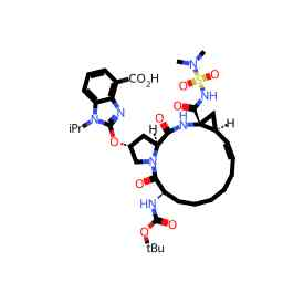 CC(C)n1c(O[C@@H]2C[C@H]3C(=O)N[C@]4(C(=O)NS(=O)(=O)N(C)C)C[C@H]4/C=C\CCCCC[C@H](NC(=O)OC(C)(C)C)C(=O)N3C2)nc2c(C(=O)O)cccc21